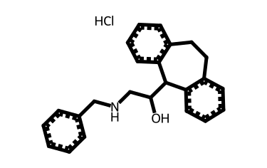 Cl.OC(CNCc1ccccc1)C1c2ccccc2CCc2ccccc21